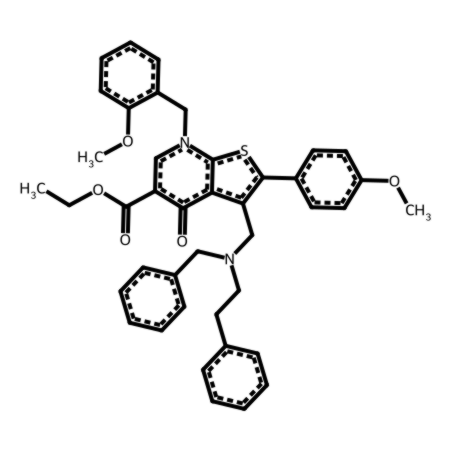 CCOC(=O)c1cn(Cc2ccccc2OC)c2sc(-c3ccc(OC)cc3)c(CN(CCc3ccccc3)Cc3ccccc3)c2c1=O